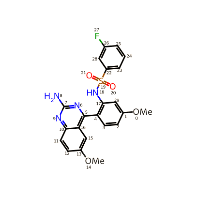 COc1ccc(-c2nc(N)nc3ccc(OC)cc23)c(NS(=O)(=O)c2cccc(F)c2)c1